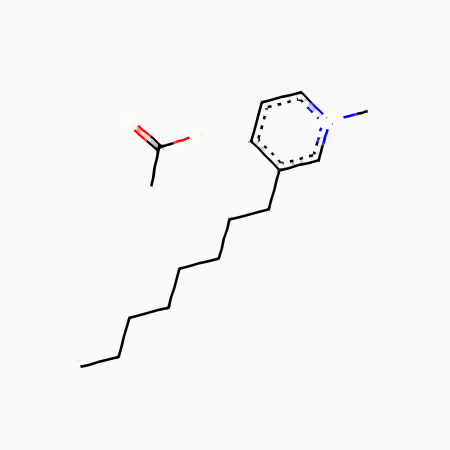 CC(=O)[O-].CCCCCCCCc1ccc[n+](C)c1